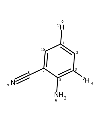 [2H]c1cc([2H])c(N)c(C#N)c1